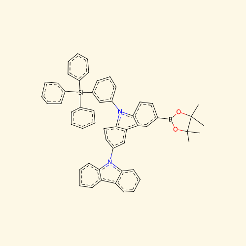 CC1(C)OB(c2ccc3c(c2)c2cc(-n4c5ccccc5c5ccccc54)ccc2n3-c2cccc([Si](c3ccccc3)(c3ccccc3)c3ccccc3)c2)OC1(C)C